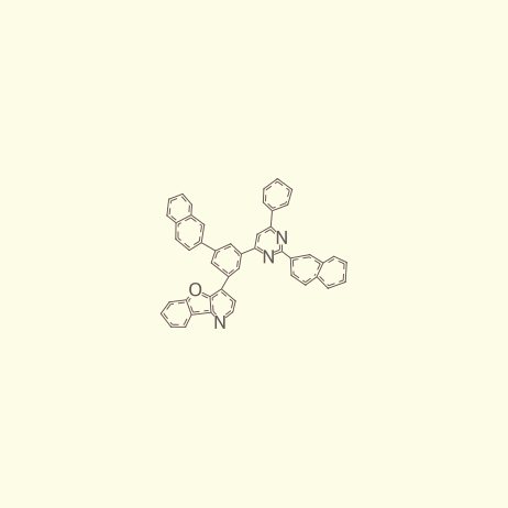 c1ccc(-c2cc(-c3cc(-c4ccc5ccccc5c4)cc(-c4ccnc5c4oc4ccccc45)c3)nc(-c3ccc4ccccc4c3)n2)cc1